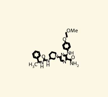 COCCOc1ccc(Nc2nc(N3CCCC(NC(=O)N[C@H](C)c4ccccc4)C3)cnc2C(N)=O)cc1